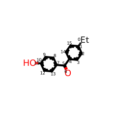 CCc1ccc(C(=O)c2ccc(O)cc2)cc1